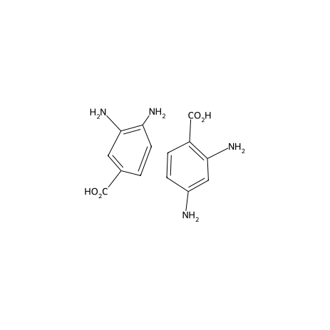 Nc1ccc(C(=O)O)c(N)c1.Nc1ccc(C(=O)O)cc1N